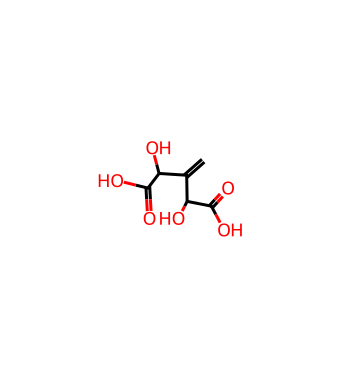 C=C(C(O)C(=O)O)C(O)C(=O)O